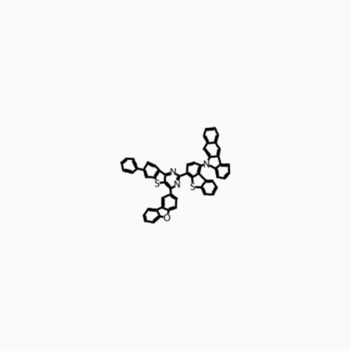 c1ccc(-c2ccc3c(c2)sc2c(-c4ccc5oc6ccccc6c5c4)nc(-c4ccc(-n5c6ccccc6c6cc7ccccc7cc65)c5c4sc4ccccc45)nc23)cc1